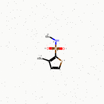 CCCCc1ccsc1S(=O)(=O)NC(C)(C)C